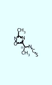 Cc1noc([C@H](C)N=C=S)n1